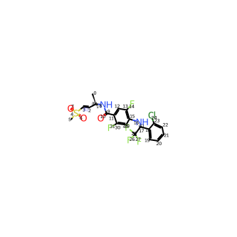 C[C@H](/C=C/S(C)(=O)=O)NC(=O)c1cc(F)c(N[C@@H](c2ccccc2Cl)C(F)(F)F)cc1F